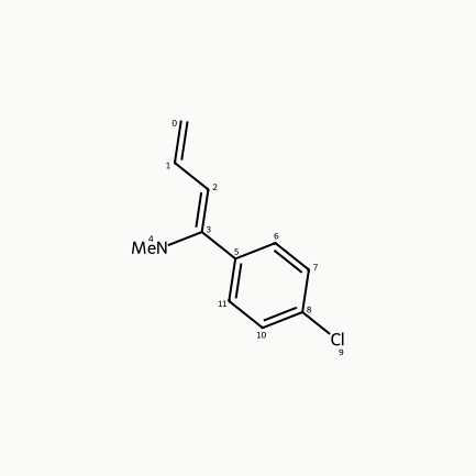 C=C/C=C(\NC)c1ccc(Cl)cc1